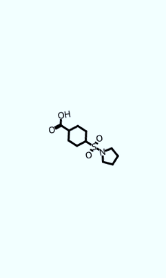 O=C(O)C1CCC(S(=O)(=O)N2CCCC2)CC1